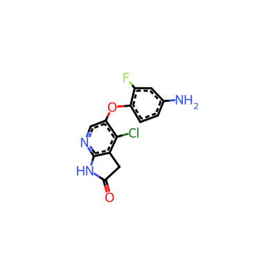 Nc1ccc(Oc2cnc3c(c2Cl)CC(=O)N3)c(F)c1